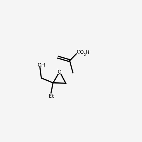 C=C(C)C(=O)O.CCC1(CO)CO1